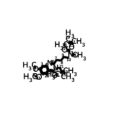 COc1cc2nc(CCCCN(C)C(=O)OC(C)(C)C)n(CC(C)(C)C)c(=O)c2cc1OC